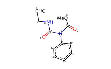 COC(=O)N(C(=O)NC[C]=O)c1ccccc1